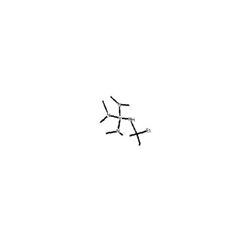 CCC(C)(C)[NH][V]([N](C)C)([N](C)C)[N](C)C